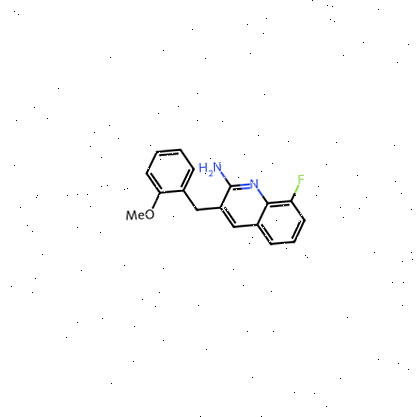 COc1ccccc1Cc1cc2cccc(F)c2nc1N